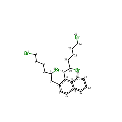 BrCCCCC(Br)Cc1ccc2ccccc2c1CC(Br)CCCCBr